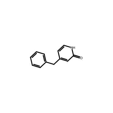 O=c1[c]c(Cc2ccccc2)cc[nH]1